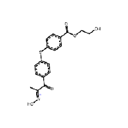 C/C(=N\O)C(=O)c1ccc(Sc2ccc(C(=O)OCCO)cc2)cc1